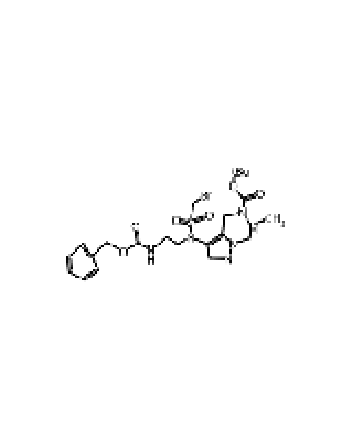 C[C@H]1Cn2ncc(N(CCNC(=O)OCc3ccccc3)S(=O)(=O)CBr)c2CN1C(=O)OC(C)(C)C